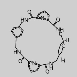 O=C1NCc2ccc(cc2)CNC(=O)c2cccc(n2)C(=O)NC[C@H]2CC[C@H](CC2)CNC(=O)c2cccc1n2